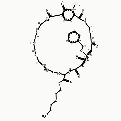 CCCOCCNC(=O)C1CCNCCCCNCCCNC(=O)c2ccc(n(C)c2=O)C(=O)NCCNC(=O)c2ccc(c(=O)n2OCc2ccccc2)C(=O)N1